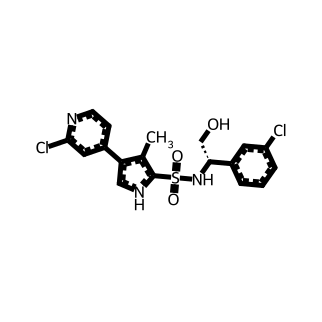 Cc1c(-c2ccnc(Cl)c2)c[nH]c1S(=O)(=O)N[C@H](CO)c1cccc(Cl)c1